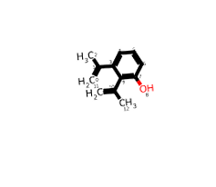 C=C(C)c1cccc(O)c1C(=C)C